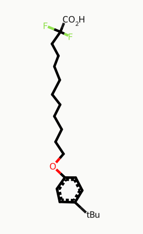 CC(C)(C)c1ccc(OCCCCCCCCCCC(F)(F)C(=O)O)cc1